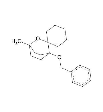 CC12CCC(OCc3ccccc3)(CC1)C1(CCCCC1)O2